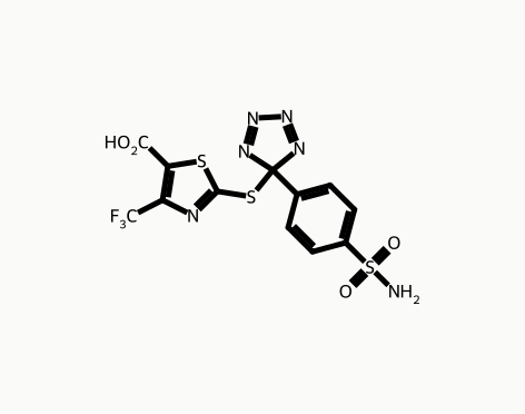 NS(=O)(=O)c1ccc(C2(Sc3nc(C(F)(F)F)c(C(=O)O)s3)N=NN=N2)cc1